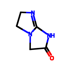 O=C1CN2CCN=C2N1